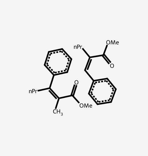 CCCC(=C(C)C(=O)OC)c1ccccc1.CCCC(=Cc1ccccc1)C(=O)OC